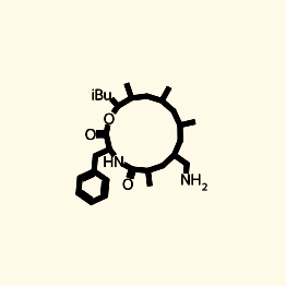 CCC(C)C1OC(=O)C(Cc2ccccc2)NC(=O)C(C)CC(CN)CC(C)CC(C)CC1C